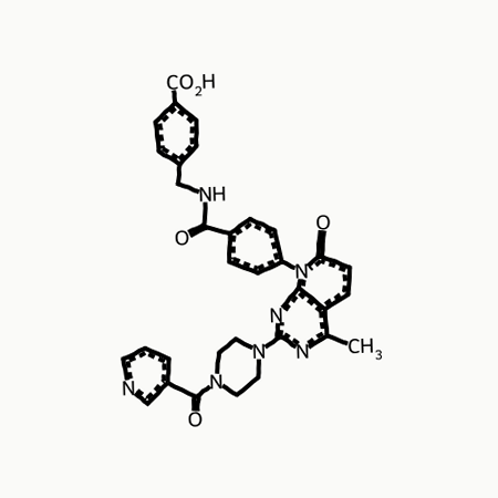 Cc1nc(N2CCN(C(=O)c3cccnc3)CC2)nc2c1ccc(=O)n2-c1ccc(C(=O)NCc2ccc(C(=O)O)cc2)cc1